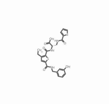 CCc1cc(C(=O)NCc2cccc(O)c2)sc1C(=O)N[C@@H](CNC(=O)c1cccs1)C(=O)O